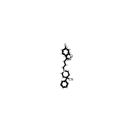 N#CC1(c2ccccc2)CCN(CCCc2noc3cc(F)ccc23)CC1